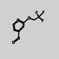 O=Nc1ccnc(OCC(F)(F)F)c1